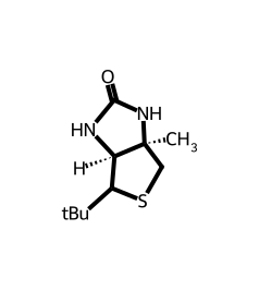 CC(C)(C)C1SC[C@]2(C)NC(=O)N[C@H]12